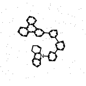 C1=Cc2c(c3ccccc3n2-c2cccc(-c3cccc(-c4cccc(-c5ccc6c7ccccc7c7ccccc7c6c5)c4)c3)c2)CC1